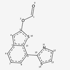 O=COc1cc2cccc(-c3nccs3)c2s1